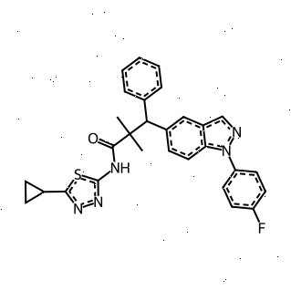 CC(C)(C(=O)Nc1nnc(C2CC2)s1)C(c1ccccc1)c1ccc2c(cnn2-c2ccc(F)cc2)c1